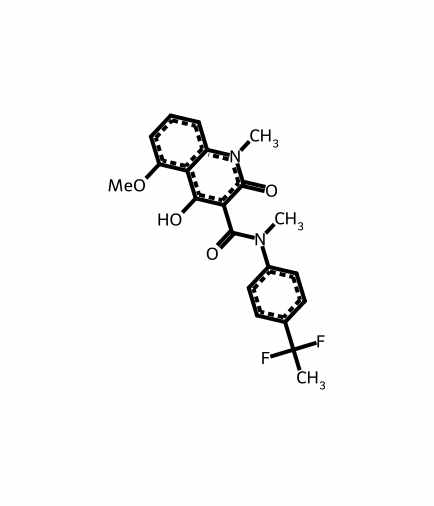 COc1cccc2c1c(O)c(C(=O)N(C)c1ccc(C(C)(F)F)cc1)c(=O)n2C